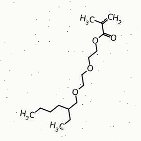 C=C(C)C(=O)OCCOCCOCC(CC)CCCC